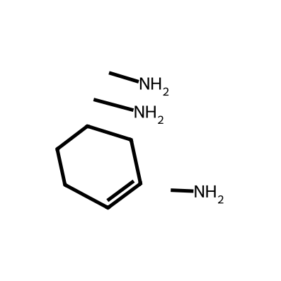 C1=CCCCC1.CN.CN.CN